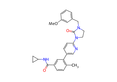 COc1cccc(CN2CCN(c3ccc(-c4cc(C(=O)NC5CC5)ccc4C)cn3)C2=O)c1